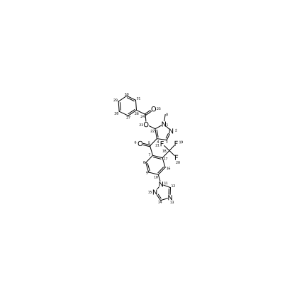 Cn1ncc(C(=O)c2ccc(-n3cncn3)cc2C(F)(F)F)c1OC(=O)c1ccccc1